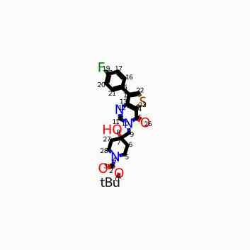 CC(C)(C)OC(=O)N1CCC(O)(Cn2cnc3c(-c4ccc(F)cc4)csc3c2=O)CC1